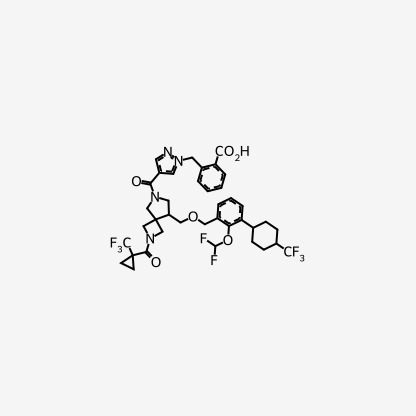 O=C(O)c1ccccc1Cn1cc(C(=O)N2CC(COCc3cccc(C4CCC(C(F)(F)F)CC4)c3OC(F)F)C3(C2)CN(C(=O)C2(C(F)(F)F)CC2)C3)cn1